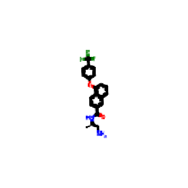 C[C@@H](CN)NC(=O)c1ccc2c(Oc3ccc(C(F)(F)F)cc3)cccc2c1